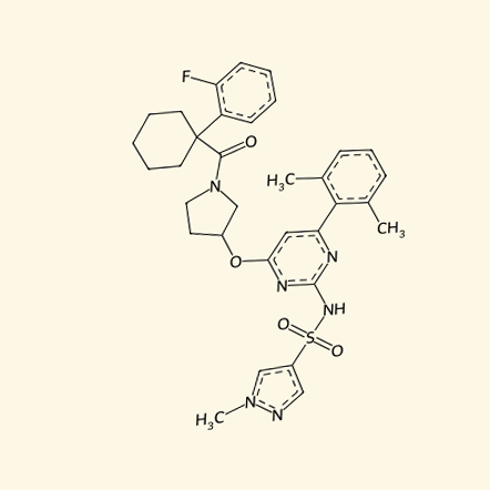 Cc1cccc(C)c1-c1cc(OC2CCN(C(=O)C3(c4ccccc4F)CCCCC3)C2)nc(NS(=O)(=O)c2cnn(C)c2)n1